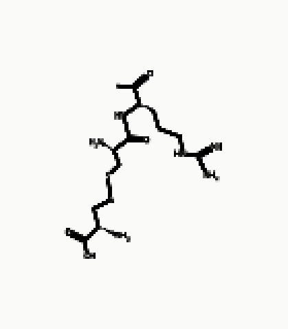 CC(=O)[C@H](CCCNC(=N)N)NC(=O)[C@@H](N)CSSC[C@H](N)C(=O)O